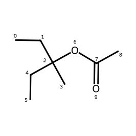 CCC(C)(CC)OC(C)=O